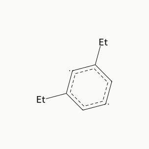 CCc1[c]c(CC)c[c]c1